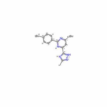 Cc1n[nH]c(-c2cc(C(C)(C)C)nc(-c3ccc(C(C)(C)C)cc3)n2)n1